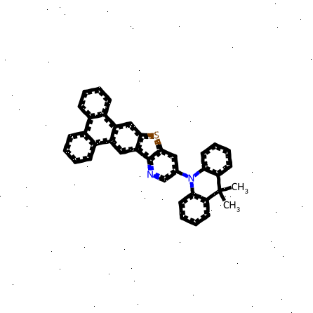 CC1(C)c2ccccc2N(c2cnc3c(c2)sc2cc4c5ccccc5c5ccccc5c4cc23)c2ccccc21